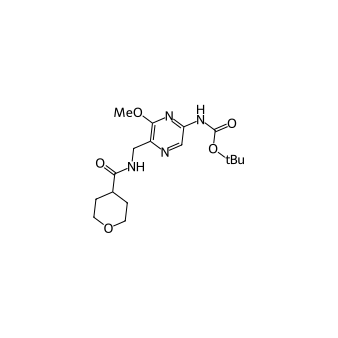 COc1nc(NC(=O)OC(C)(C)C)cnc1CNC(=O)C1CCOCC1